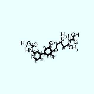 CC(=O)Nc1cc(-c2cc(F)c(OCC(C)CC(C)NC(=O)O)c(Cl)c2)ccn1